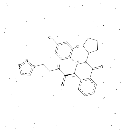 O=C(NCCn1ccnn1)[C@@H]1c2ccccc2C(=O)N(C2CCCC2)[C@H]1c1ccc(Cl)cc1Cl